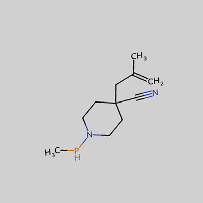 C=C(C)CC1(C#N)CCN(PC)CC1